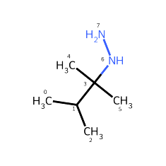 CC(C)C(C)(C)NN